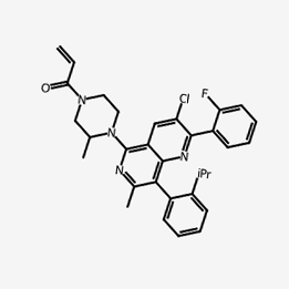 C=CC(=O)N1CCN(c2nc(C)c(-c3ccccc3C(C)C)c3nc(-c4ccccc4F)c(Cl)cc23)C(C)C1